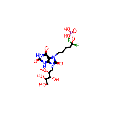 O=c1[nH]c(=O)c2c([nH]1)n(C[C@H](O)[C@H](O)[C@H](O)CO)c(=O)n2CCCCC(F)(F)OP(=O)(O)O